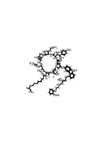 CCC(C)CC(C)CCCCCCCCC(=O)N[C@H]1C[C@@H](O)[C@H](NCCN)NC(=O)[C@@H]2[C@@H](O)CCN2C(=O)[C@H]([C@@H](O)CCN)NC(=O)[C@H]([C@H](O)[C@@H](O)c2ccc(O)cc2)NC(=O)[C@@H]2C[C@@H](O)CN2C(=O)[C@H]([C@@H](C)O)NC1=O.COc1ccccc1OCCNCC(O)COc1cccc2[nH]c3ccccc3c12